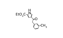 CCOC(=O)c1cc(C(=O)Cc2cccc(C)c2)c[nH]1